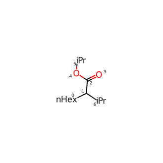 CCCCCCC(C(=O)OC(C)C)C(C)C